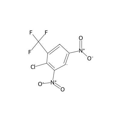 O=[N+]([O-])c1[c]c([N+](=O)[O-])c(Cl)c(C(F)(F)F)c1